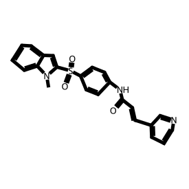 Cn1c(S(=O)(=O)c2ccc(NC(=O)C=Cc3cccnc3)cc2)cc2ccccc21